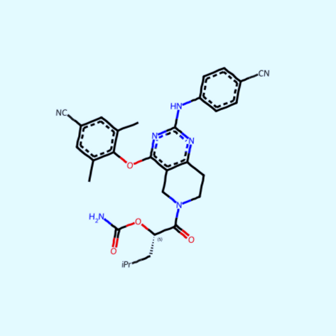 Cc1cc(C#N)cc(C)c1Oc1nc(Nc2ccc(C#N)cc2)nc2c1CN(C(=O)[C@H](CC(C)C)OC(N)=O)CC2